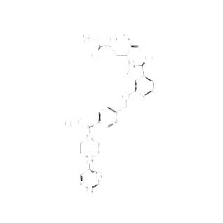 C[C@H](c1ccc(COc2cccc3c2CN(C(CCC(=O)O)C(N)=O)C3=O)cc1)N1CCN(c2ccncn2)CC1